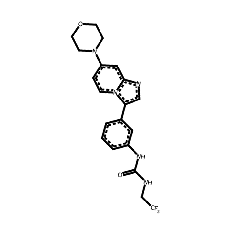 O=C(NCC(F)(F)F)Nc1cccc(-c2cnc3cc(N4CCOCC4)ccn23)c1